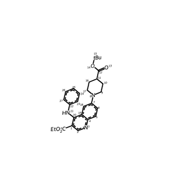 CCOC(=O)c1cnc2ccc(N3CCC(C(=O)OC(C)(C)C)CC3)cc2c1Nc1ccccc1